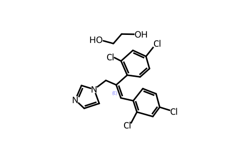 Clc1ccc(/C=C(/Cn2ccnc2)c2ccc(Cl)cc2Cl)c(Cl)c1.OCCO